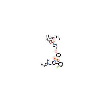 CNCc1cc(-c2ccccc2F)n(S(=O)(=O)c2cccc(OCC3CN(C(=O)OC(C)(C)C)C3)c2)c1